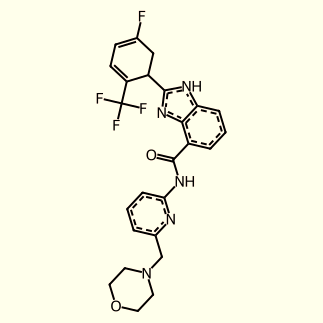 O=C(Nc1cccc(CN2CCOCC2)n1)c1cccc2[nH]c(C3CC(F)=CC=C3C(F)(F)F)nc12